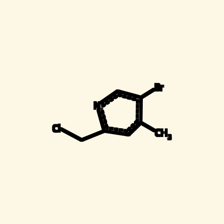 Cc1cc(CCl)ncc1Br